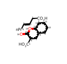 CCC/C=C/CC(=O)O.O=C(O)c1cc2ccccc2oc1=O